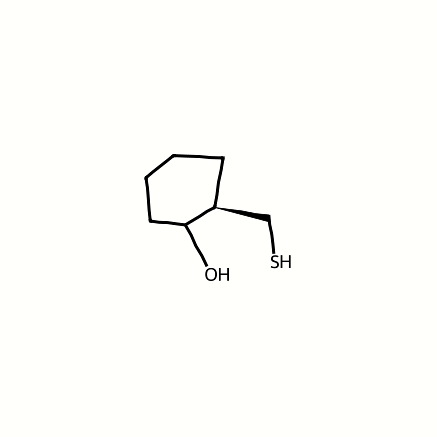 OC1CCCC[C@H]1CS